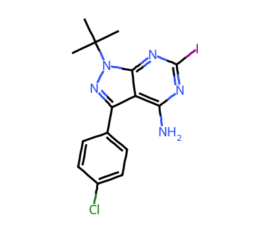 CC(C)(C)n1nc(-c2ccc(Cl)cc2)c2c(N)nc(I)nc21